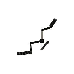 C=CCOCC=C.CC